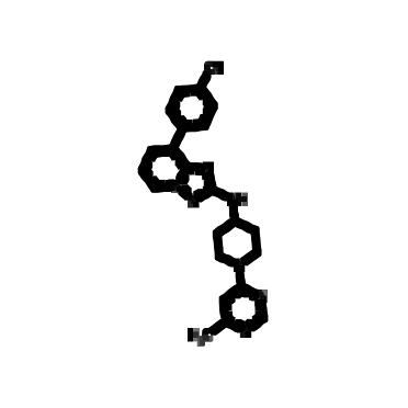 Cc1cc(N2CCC(Nc3nc4c(-c5ccc(C#N)cc5)cccn4n3)CC2)ncn1